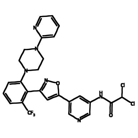 O=C(Nc1cncc(-c2cc(-c3c(N4CCN(c5ccccn5)CC4)cccc3C(F)(F)F)no2)c1)C(Cl)Cl